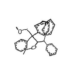 CCOC([C](c1ccccc1)c1ccccc1)C([CH]OC)(c1ccccc1)c1ccccc1